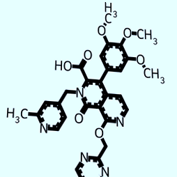 COc1cc(-c2c(C(=O)O)n(Cc3ccnc(C)c3)c(=O)c3c(OCc4ncccn4)nccc23)cc(OC)c1OC